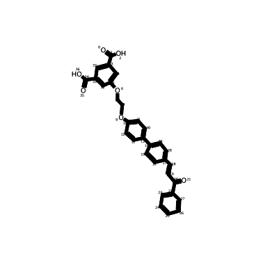 O=C(O)c1cc(OCCOc2ccc(-c3ccc(C=CC(=O)c4ccccc4)cc3)cc2)cc(C(=O)O)c1